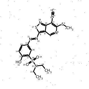 [C-]#[N+]c1c(SC)ncc2c(/N=N/c3ccc(O)c(S(=O)(=O)N(CC)CC)c3)snc12